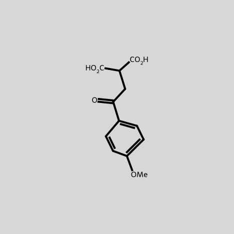 COc1ccc(C(=O)CC(C(=O)O)C(=O)O)cc1